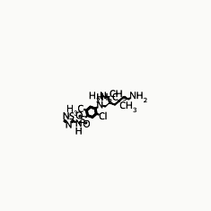 Cc1cc(NC[C@H](CC(C)(C)CCN)[C@@H](C)N)c(Cl)cc1S(=O)(=O)Nc1ncns1